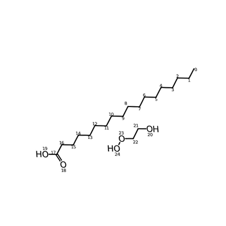 CCCCCCCCCCCCCCCCCC(=O)O.OCCOO